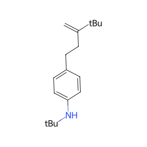 C=C(CCc1ccc(NC(C)(C)C)cc1)C(C)(C)C